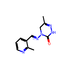 CC1=NNC(=O)N(/N=C/c2cccnc2C)C1